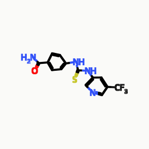 NC(=O)c1ccc(NC(=S)Nc2cncc(C(F)(F)F)c2)cc1